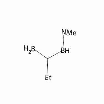 BC(BNC)CC